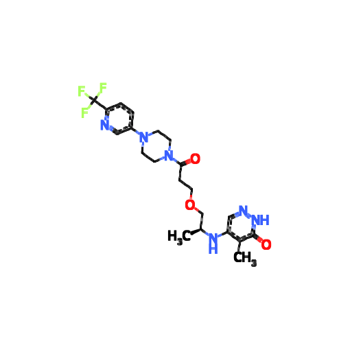 Cc1c(N[C@@H](C)COCCC(=O)N2CCN(c3ccc(C(F)(F)F)nc3)CC2)cn[nH]c1=O